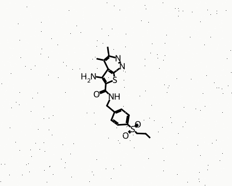 CCCS(=O)(=O)c1ccc(CNC(=O)c2sc3nnc(C)c(C)c3c2N)cc1